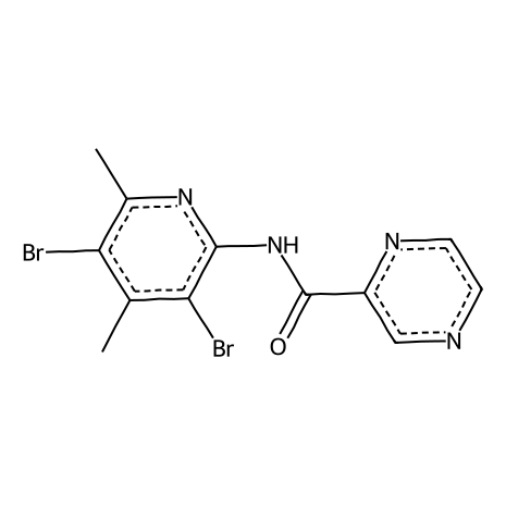 Cc1nc(NC(=O)c2cnccn2)c(Br)c(C)c1Br